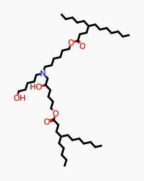 CCCCCCCC(CCCCC)CCC(=O)OCCCCCCN(CCCCCO)CC(O)CCCCOC(=O)CCC(CCCCC)CCCCCCC